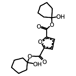 O=C(OC1(O)CCCCC1)c1ccc(C(=O)OC2(O)CCCCC2)o1